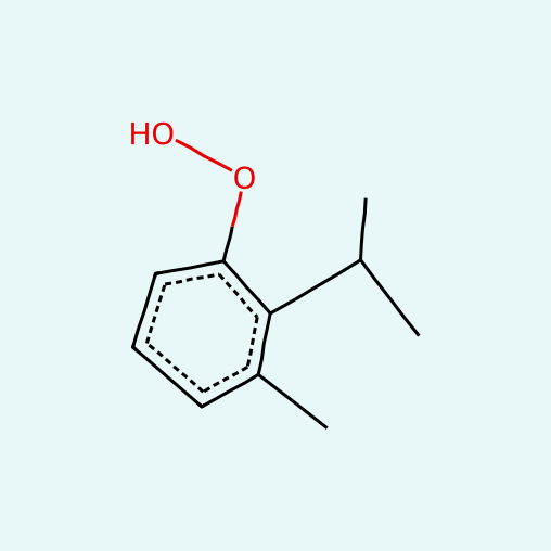 Cc1cccc(OO)c1C(C)C